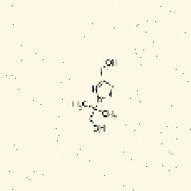 CC(C)(CO)n1ccc(CO)n1